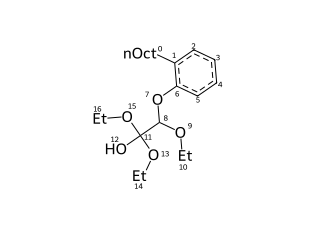 CCCCCCCCc1ccccc1OC(OCC)C(O)(OCC)OCC